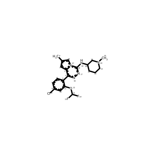 Cc1cc2c(-c3ccc(Cl)cc3OC(F)F)nnc(NC3CCCN(C)C3)n2c1